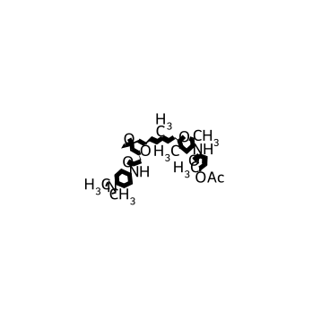 CC(=O)O[C@@H](C)/C=C\C(=O)N[C@@H]1C[C@H](C)[C@H](C/C=C(C)/C=C/[C@@H]2C[C@]3(CO3)C[C@@H](CC(=O)N[C@H]3CC[C@@H](N(C)C)CC3)O2)O[C@@H]1C